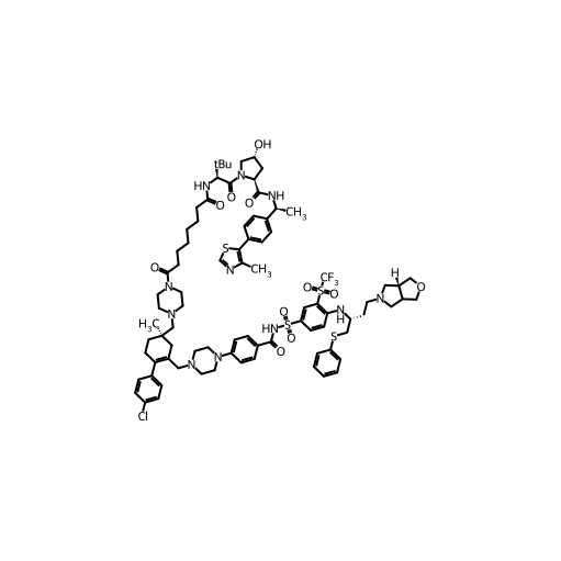 Cc1ncsc1-c1ccc([C@H](C)NC(=O)[C@@H]2C[C@@H](O)CN2C(=O)[C@@H](NC(=O)CCCCCCC(=O)N2CCN(C[C@]3(C)CCC(c4ccc(Cl)cc4)=C(CN4CCN(c5ccc(C(=O)NS(=O)(=O)c6ccc(N[C@H](CCN7CC8COC[C@H]8C7)CSc7ccccc7)c(S(=O)(=O)C(F)(F)F)c6)cc5)CC4)C3)CC2)C(C)(C)C)cc1